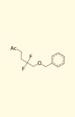 CC(=O)CCC(F)(F)COCc1ccccc1